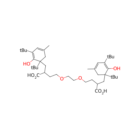 CC1=CC(C(C)(C)C)=C(O)C(CC(CCOCCOCCC(CC2(C(C)(C)C)CC(C)=CC(C(C)(C)C)=C2O)C(=O)O)C(=O)O)(C(C)(C)C)C1